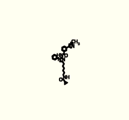 Cn1cc(-c2cccc(C(=O)Nc3nc(CCCCCCNC(=O)C4CC4)cn3-c3ccccc3)c2)cn1